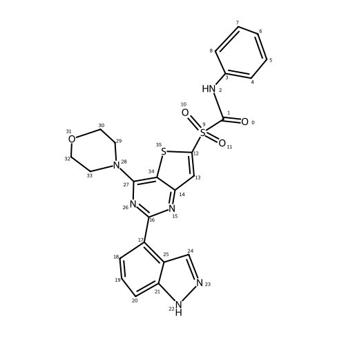 O=C(Nc1ccccc1)S(=O)(=O)c1cc2nc(-c3cccc4[nH]ncc34)nc(N3CCOCC3)c2s1